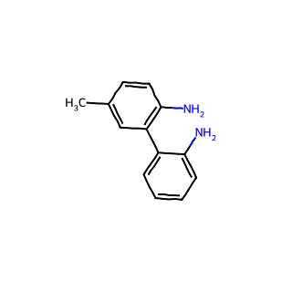 Cc1ccc(N)c(-c2ccccc2N)c1